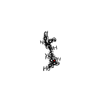 COc1ccc2c(c1)c(CC(=O)NCCCCNC(=S)Nc1ccc(-c3c4ccc(=O)cc-4oc4cc(O)ccc34)c(C(=O)O)c1)c(C)n2C(O)c1ccc(Cl)cc1